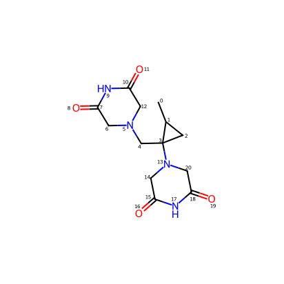 CC1CC1(CN1CC(=O)NC(=O)C1)N1CC(=O)NC(=O)C1